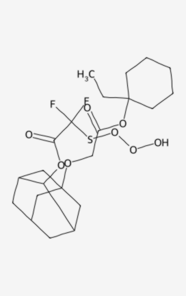 CCC1(OC(=O)COC23CC4CC(C2)C(OC(=O)C(F)(F)SOOO)C(C4)C3)CCCCC1